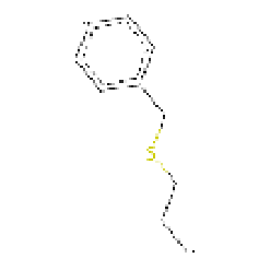 [CH2]CCSCc1cc[c]cc1